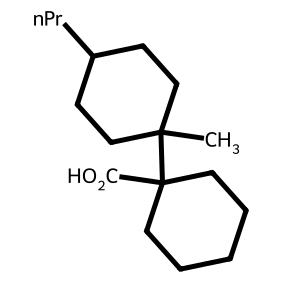 CCCC1CCC(C)(C2(C(=O)O)CCCCC2)CC1